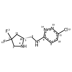 FC1(F)CN[C@@H](CNc2ccc(Cl)nn2)C1